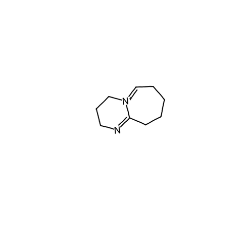 C1=[N+]2CCCN=C2CCCC1